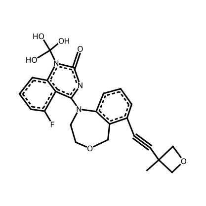 CC1(C#Cc2cccc3c2COCCN3c2nc(=O)n(C(O)(O)O)c3cccc(F)c23)COC1